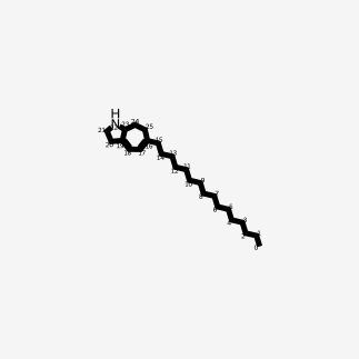 CCCCCCCCCCCCCCCCC1=CC=C2CCNC2CC1